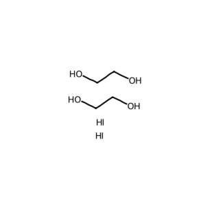 I.I.OCCO.OCCO